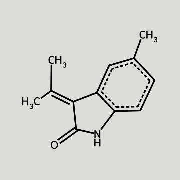 CC(C)=C1C(=O)Nc2ccc(C)cc21